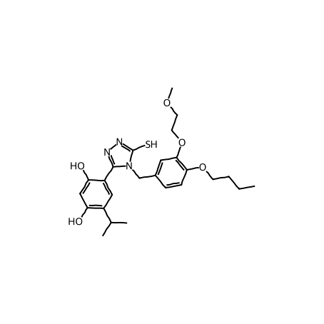 CCCCOc1ccc(Cn2c(S)nnc2-c2cc(C(C)C)c(O)cc2O)cc1OCCOC